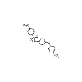 COc1ccc(S(=O)(=O)Nc2ccc(Oc3ccc([N+](=O)[O-])cc3)cc2)cc1